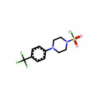 O=S(=O)(Cl)N1CCN(c2ccc(C(F)(F)F)cc2)CC1